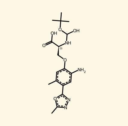 Cc1nnc(-c2cc(N)c(OC[C@H](NC(O)OC(C)(C)C)C(=O)O)cc2C)o1